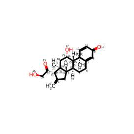 C=C1C[C@H]2[C@@H]3CCC4=CC(=O)C=C[C@]4(C)[C@H]3[C@@H](O)C[C@]2(C)[C@H]1C(=O)CO